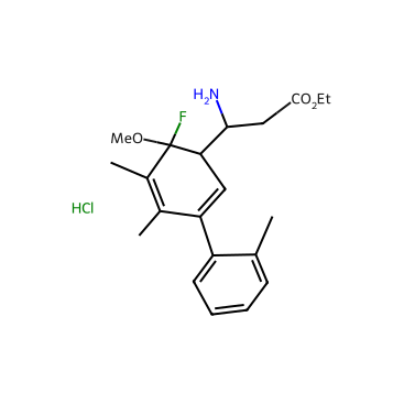 CCOC(=O)CC(N)C1C=C(c2ccccc2C)C(C)=C(C)C1(F)OC.Cl